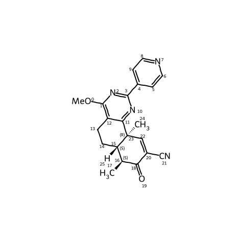 COc1nc(-c2ccncc2)nc2c1CC[C@H]1[C@H](C)C(=O)C(C#N)=C[C@]21C